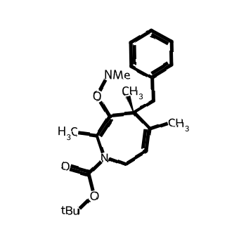 CNOC1=C(C)N(C(=O)OC(C)(C)C)CC=C(C)[C@@]1(C)Cc1ccccc1